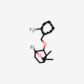 CCC12CCC(CC1OCc1ccccc1C(F)(F)F)C(C)(C)O2